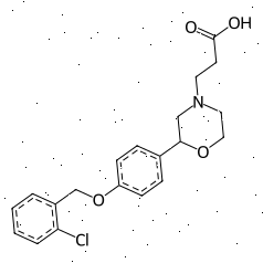 O=C(O)CCN1CCOC(c2ccc(OCc3ccccc3Cl)cc2)C1